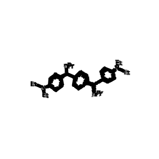 CCCC(c1ccc(C(CCC)c2ccc(N(CC)CC)cc2)cc1)c1ccc(N(CC)CC)cc1